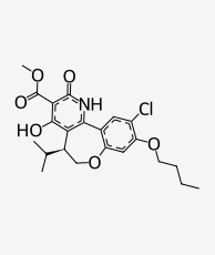 CCCCOc1cc2c(cc1Cl)-c1[nH]c(=O)c(C(=O)OC)c(O)c1[C@H](C(C)C)CO2